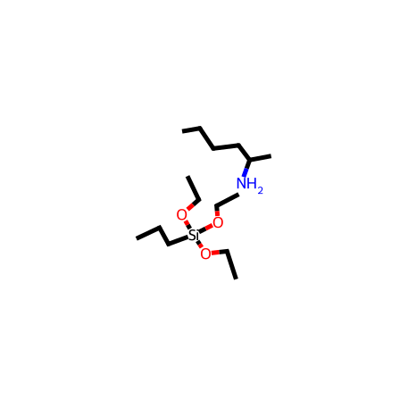 CCCCC(C)N.CCC[Si](OCC)(OCC)OCC